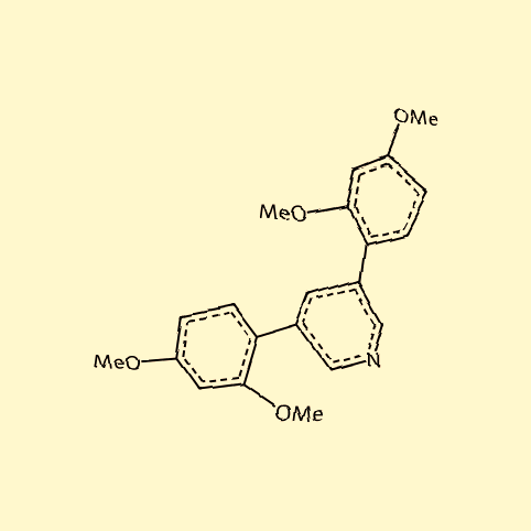 COc1ccc(-c2cncc(-c3ccc(OC)cc3OC)c2)c(OC)c1